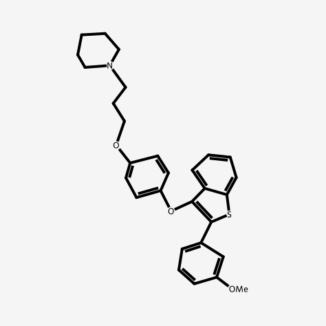 COc1cccc(-c2sc3ccccc3c2Oc2ccc(OCCCN3CCCCC3)cc2)c1